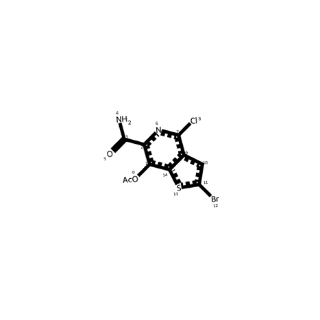 CC(=O)Oc1c(C(N)=O)nc(Cl)c2cc(Br)sc12